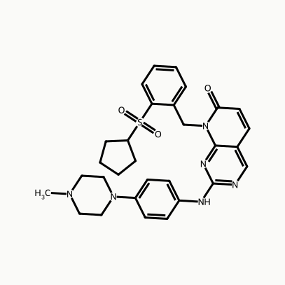 CN1CCN(c2ccc(Nc3ncc4ccc(=O)n(Cc5ccccc5S(=O)(=O)C5CCCC5)c4n3)cc2)CC1